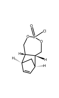 O=P1(Cl)OC[C@@H]2[C@H](CO1)[C@H]1C=C[C@@H]2C1